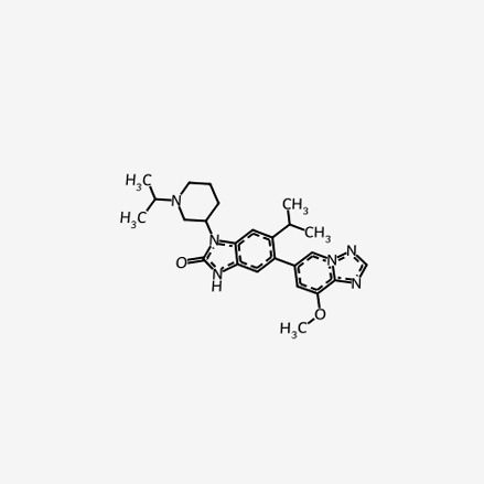 COc1cc(-c2cc3[nH]c(=O)n(C4CCCN(C(C)C)C4)c3cc2C(C)C)cn2ncnc12